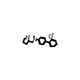 COc1ccccc1-c1ccc(N(C)CC2CCCN2C)cc1